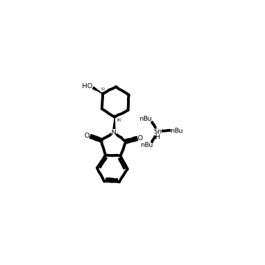 CCC[CH2][SnH]([CH2]CCC)[CH2]CCC.O=C1c2ccccc2C(=O)N1[C@@H]1CCC[C@H](O)C1